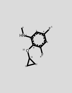 CNc1cc(F)cc(F)c1OC1CC1